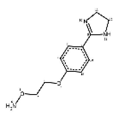 NOCCOc1ccc(C2=NCCN2)cc1